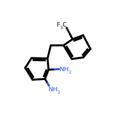 Nc1cccc(Cc2ccccc2C(F)(F)F)c1N